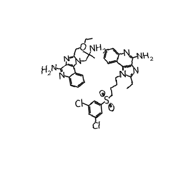 CCOCc1nc2c(N)nc3ccccc3c2n1CC(C)(C)N.CCc1nc2c(N)nc3ccccc3c2n1CCCCS(=O)(=O)c1cc(Cl)cc(Cl)c1